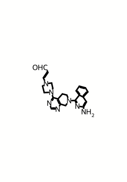 Nc1cc2ccccc2c(N2CCc3c(ncnc3N3CCN(C=CC=O)CC3)C2)n1